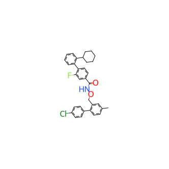 Cc1ccc(-c2ccc(Cl)cc2)c(CONC(=O)c2ccc(-c3ccccc3C3CCCCC3)c(F)c2)c1